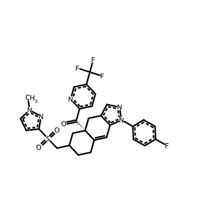 Cn1ccc(S(=O)(=O)CC2CCC3=Cc4c(cnn4-c4ccc(F)cc4)C[C@]3(C(=O)c3ccc(C(F)(F)F)cn3)C2)n1